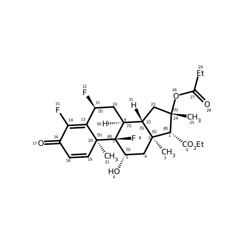 CCOC(=O)[C@@H]1[C@@]2(C)C[C@H](O)[C@@]3(F)[C@@H](C[C@H](F)C4=C(F)C(=O)C=C[C@@]43C)[C@@H]2C[C@]1(C)OC(=O)CC